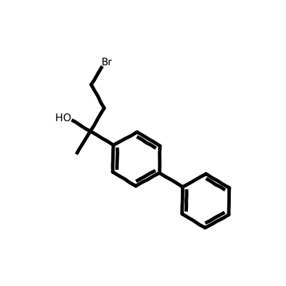 CC(O)(CCBr)c1ccc(-c2ccccc2)cc1